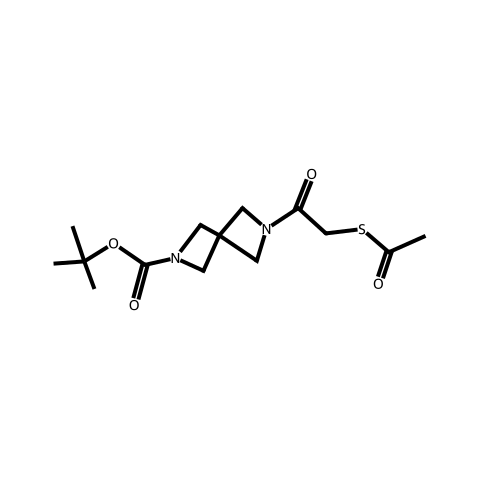 CC(=O)SCC(=O)N1CC2(C1)CN(C(=O)OC(C)(C)C)C2